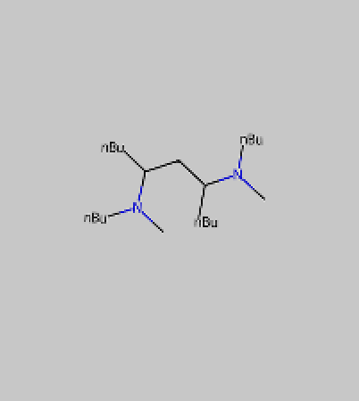 CCCCC(CC(CCCC)N(C)CCCC)N(C)CCCC